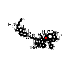 CC(=O)O[C@@]12CO[C@@H]1C[C@H](C)[C@@]1(C)C(=O)[C@H](C)C3=C(C)[C@@H](OC(=O)C(OC(=O)CNC(=O)CCO[C@H]4CC[C@@]5(C)C(=CCC6C5CC[C@@]5(C)C6CC[C@@H]5[C@H](C)CCCC(C)C)C4)[C@@H](NC(=O)OC(C)(C)C)c4ccccc4)C[C@@](O)([C@@H](OC(=O)c4ccccc4)[C@H]21)C3(C)C